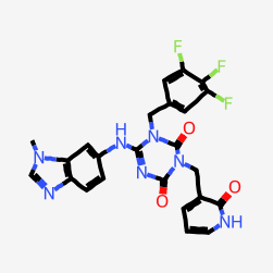 Cn1cnc2ccc(Nc3nc(=O)n(Cc4ccc[nH]c4=O)c(=O)n3Cc3cc(F)c(F)c(F)c3)cc21